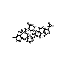 Cc1cnc2c(c1)S(=O)(=O)N(Cc1cc(C(c3ccc4c(nnn4C4CC4)c3C)C(C)(C)C(=O)O)cnc1C)CC1(CCOCC1)O2